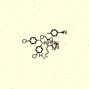 CCCC(c1nnn[nH]1)N1C(=O)[C@@H](Cc2ccc(C#N)cc2)O[C@H](c2ccc(Cl)cc2)[C@@H]1c1ccc(Cl)cc1